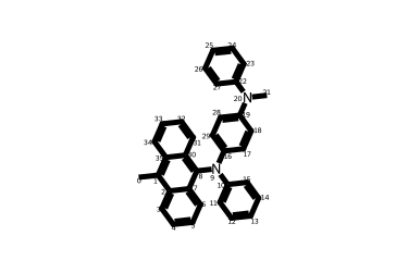 Cc1c2ccccc2c(N(c2ccccc2)c2ccc(N(C)c3ccccc3)cc2)c2ccccc12